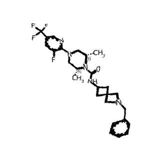 C[C@@H]1CN(c2ncc(C(F)(F)F)cc2F)C[C@H](C)N1C(=O)NC1CC2(C1)CN(Cc1ccccc1)C2